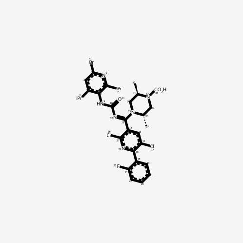 CC(C)c1cc(Br)nc(C(C)C)c1NC(=O)N=C(c1cc(Cl)c(-c2ccccc2F)nc1Cl)N1C[C@@H](C)N(C(=O)O)C[C@@H]1C